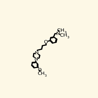 COc1cccc(N2CCN(CCCCOc3cccc(CN(C)C)c3)CC2)c1